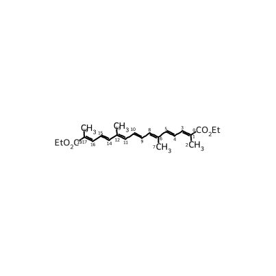 CCOC(=O)/C(C)=C/C=C/C(C)=C/C=C/C=C(C)/C=C/C=C(\C)C(=O)OCC